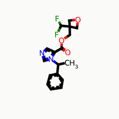 CC(c1ccccc1)n1cncc1C(=O)OCC1(C(F)F)COC1